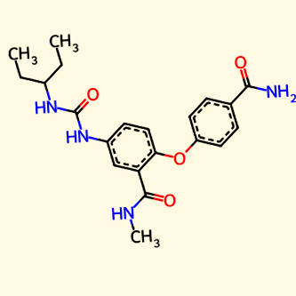 CCC(CC)NC(=O)Nc1ccc(Oc2ccc(C(N)=O)cc2)c(C(=O)NC)c1